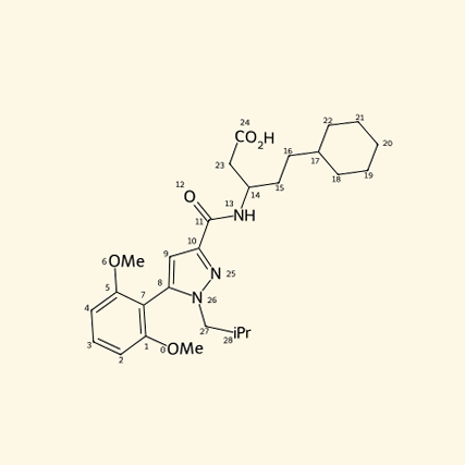 COc1cccc(OC)c1-c1cc(C(=O)NC(CCC2CCCCC2)CC(=O)O)nn1CC(C)C